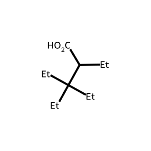 CCC(C(=O)O)C(CC)(CC)CC